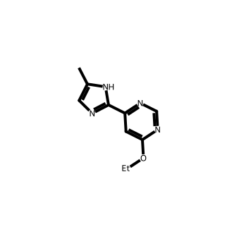 CCOc1cc(-c2ncc(C)[nH]2)ncn1